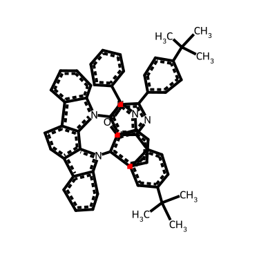 CC(C)(C)c1ccc(-c2nc(-c3ccc(C(C)(C)C)cc3)nc(-n3c4ccccc4c4ccc5c6ccccc6n(-c6cccc7nc(-c8ccccc8)oc67)c5c43)n2)cc1